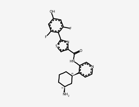 N[C@H]1CCC[C@@H](c2ccncc2NC(=O)c2csc(-c3c(F)cc(O)cc3F)n2)C1